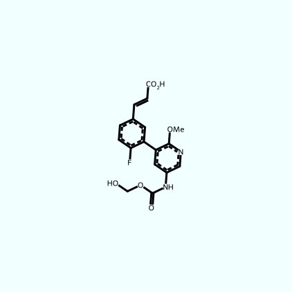 COc1ncc(NC(=O)OCO)cc1-c1cc(C=CC(=O)O)ccc1F